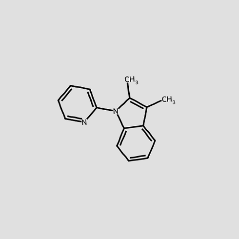 Cc1c(C)n(-c2ccccn2)c2ccccc12